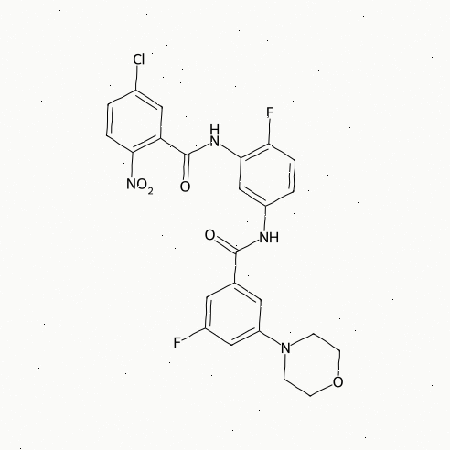 O=C(Nc1ccc(F)c(NC(=O)c2cc(Cl)ccc2[N+](=O)[O-])c1)c1cc(F)cc(N2CCOCC2)c1